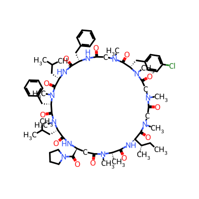 CC[C@H](C)[C@@H]1NC(=O)[C@H](C)N(C)C(=O)C[C@@H](C(=O)N2CCCC2)NC(=O)[C@H](CC(C)C)N(C)C(=O)[C@H](Cc2ccccc2)N(C)C(=O)[C@H](CC(C)C)NC(=O)[C@H](Cc2ccccc2)NC(=O)CN(C)C(=O)[C@H](Cc2ccc(Cl)cc2)N(C)C(=O)CN(C)C(=O)CN(C)C1=O